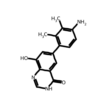 Cc1c(N)ccc(-c2cc(O)c3nc[nH]c(=O)c3c2)c1C